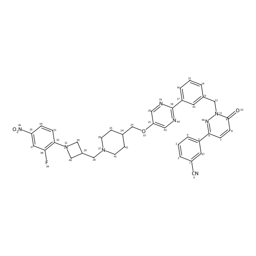 N#Cc1cccc(-c2ccc(=O)n(Cc3cccc(-c4ncc(OCC5CCN(CC6CN(c7ccc([N+](=O)[O-])cc7F)C6)CC5)cn4)c3)n2)c1